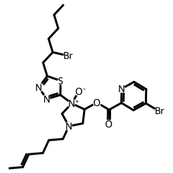 CC=CCCCN1CC(OC(=O)c2cc(Br)ccn2)[N+]([O-])(c2nnc(CC(Br)CCCC)s2)C1